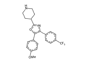 COc1ccc(-c2oc(C3CCNCC3)nc2-c2ccc(C(F)(F)F)cc2)cc1